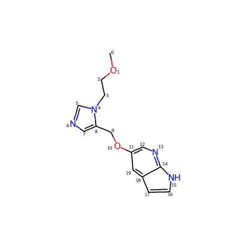 COCCn1cncc1COc1cnc2[nH]ccc2c1